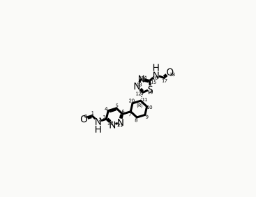 O=CNc1ccc(C2CCC[C@@H](c3nnc(NC=O)s3)C2)nn1